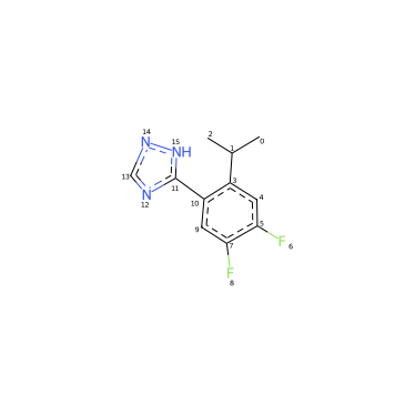 CC(C)c1cc(F)c(F)cc1-c1ncn[nH]1